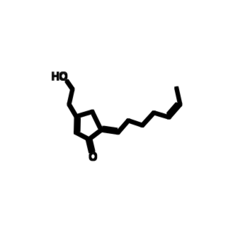 C/C=C\CCC/C=C1\CC(CCO)=CC1=O